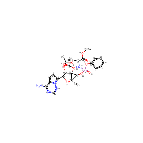 CC(C)C(=O)O[C@H]1[C@H](c2ccc3c(N)ncnn23)O[C@]2(C)C(O[P@@](=O)(N[C@@H](C)C(=O)OC(C)(C)C)Oc3ccccc3)[C@]12OC(=O)C(C)C